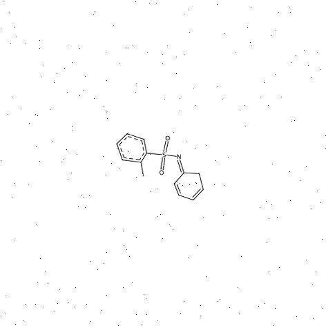 Cc1ccccc1S(=O)(=O)N=C1C=CC=CC1